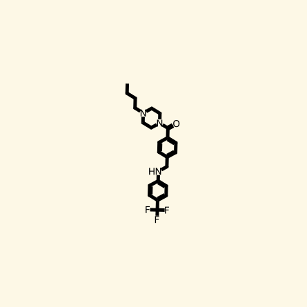 CCCCN1CCN(C(=O)c2ccc(CNc3ccc(C(F)(F)F)cc3)cc2)CC1